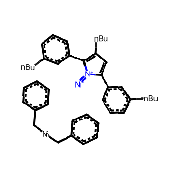 CCCCC1=C(c2cccc(CCCC)c2)[N+](=[N-])C(c2cccc(CCCC)c2)=C1.c1ccc([CH2][Ni][CH2]c2ccccc2)cc1